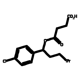 CC(C)CCC(OC(=O)CCC(=O)O)c1ccc(Cl)cc1